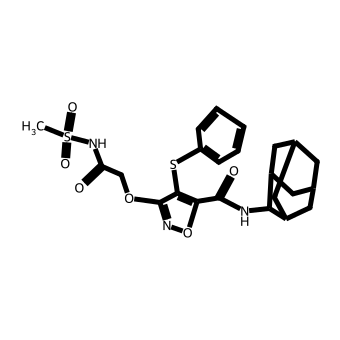 CS(=O)(=O)NC(=O)COc1noc(C(=O)NC2C3CC4CC(C3)CC2C4)c1Sc1ccccc1